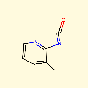 Cc1cccnc1N=C=O